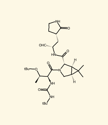 C[C@@H](OC(C)(C)C)[C@H](NC(=O)NC(C)(C)C)C(=O)N1C[C@H]2[C@@H]([C@H]1C(=O)N[C@H](C=O)C[C@@H]1CCNC1=O)C2(C)C